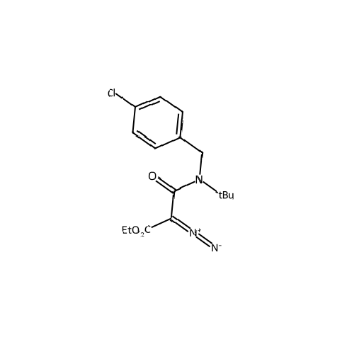 CCOC(=O)C(=[N+]=[N-])C(=O)N(Cc1ccc(Cl)cc1)C(C)(C)C